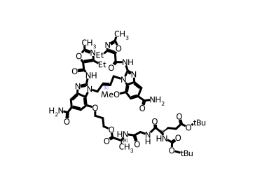 CCc1nc(C)oc1C(=O)Nc1nc2cc(C(N)=O)cc(OC)c2n1C/C=C/Cn1c(NC(=O)c2oc(C)nc2CC)nc2cc(C(N)=O)cc(OCCCOC(=O)[C@@H](C)NC(=O)CNC(=O)[C@@H](CCC(=O)OC(C)(C)C)NC(=O)OC(C)(C)C)c21